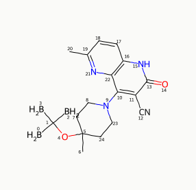 BC(B)(B)OC1(C)CCN(c2c(C#N)c(=O)[nH]c3ccc(C)nc23)CC1